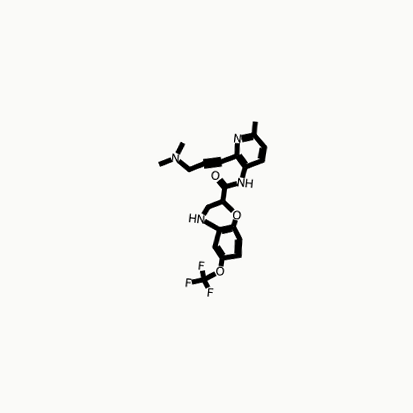 Cc1ccc(NC(=O)C2CNc3cc(OC(F)(F)F)ccc3O2)c(C#CCN(C)C)n1